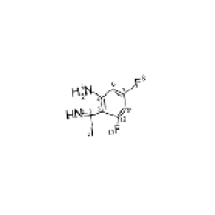 N=C(I)c1c(N)cc(F)cc1F